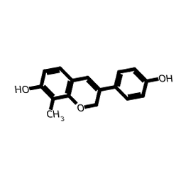 Cc1c(O)ccc2c1OCC(c1ccc(O)cc1)=C2